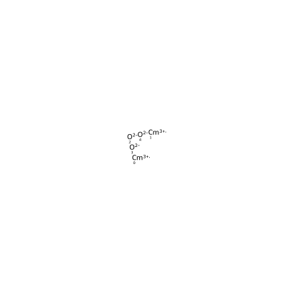 [Cm+3].[Cm+3].[O-2].[O-2].[O-2]